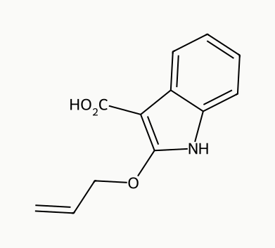 C=CCOc1[nH]c2ccccc2c1C(=O)O